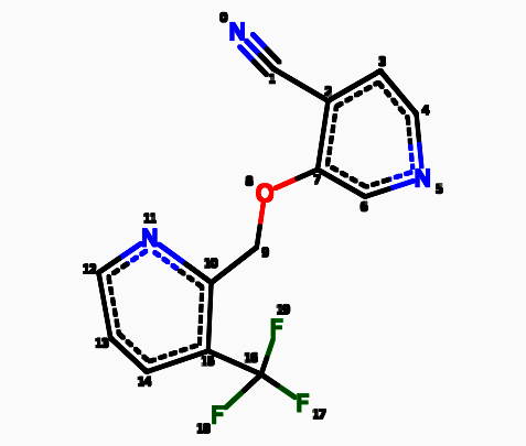 N#Cc1ccncc1OCc1ncccc1C(F)(F)F